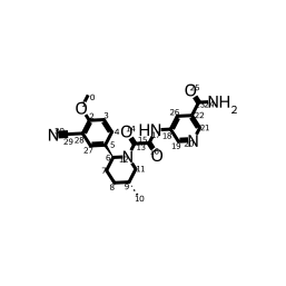 COc1ccc([C@@H]2CC[C@@H](C)CN2C(=O)C(=O)Nc2cncc(C(N)=O)c2)cc1C#N